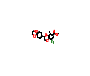 COC(=O)c1cc(Cl)c2c(c1C)O[C@H](C1CCC3(CC1)OCCO3)CO2